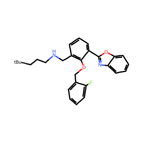 CC(C)(C)[CH]CCNCc1cccc(-c2nc3ccccc3o2)c1OCc1ccccc1F